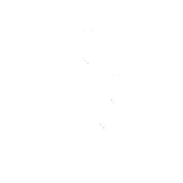 CC(=O)Nc1nc(C)c(-c2csc(C(C)=O)n2)s1